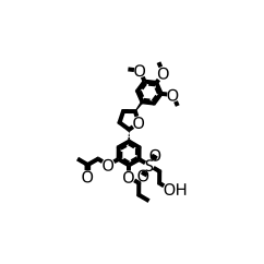 CCCOc1c(OCC(C)=O)cc([C@@H]2CC[C@@H](c3cc(OC)c(OC)c(OC)c3)O2)cc1S(=O)(=O)CCO